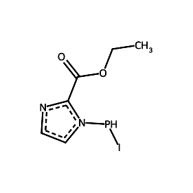 CCOC(=O)c1nccn1PI